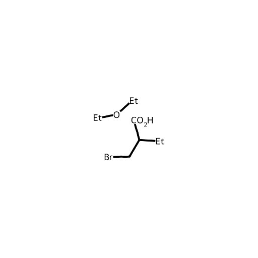 CCC(CBr)C(=O)O.CCOCC